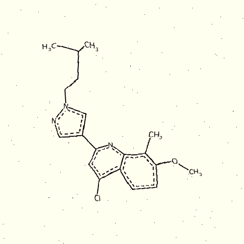 COc1ccc2c(Cl)cc(-c3cnn(CCC(C)C)c3)nc2c1C